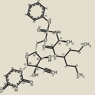 C#C[C@@]1(O)[C@H](O)[C@@H](COP(=O)(N[C@@H](C)C(=O)OC(CCC)CCC)Oc2ccccc2)O[C@H]1n1ccc(=O)[nH]c1=O